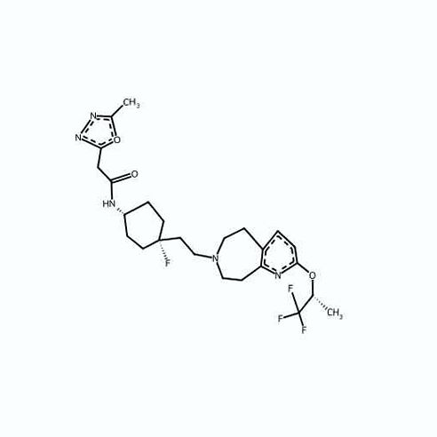 Cc1nnc(CC(=O)N[C@H]2CC[C@](F)(CCN3CCc4ccc(O[C@H](C)C(F)(F)F)nc4CC3)CC2)o1